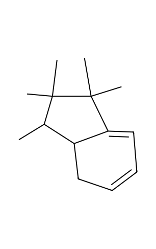 CC1C2CC=CC=C2C(C)(C)C1(C)C